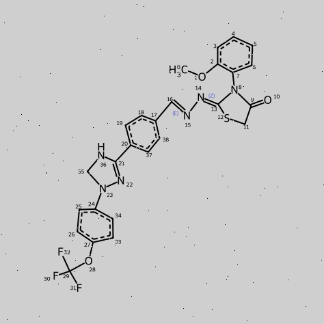 COc1ccccc1N1C(=O)CS/C1=N\N=C\c1ccc(C2=NN(c3ccc(OC(F)(F)F)cc3)CN2)cc1